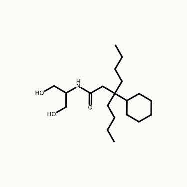 CCCCC(CCCC)(CC(=O)NC(CO)CO)C1CCCCC1